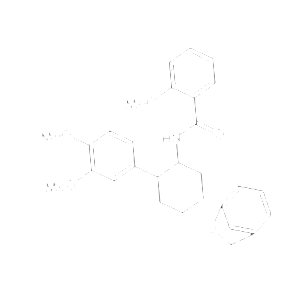 COc1ccc(C2CCCCC2NC(=O)c2ccccc2OC)cc1OC.c1cc2cc(c1)OC2